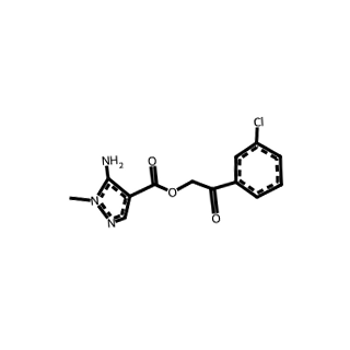 Cn1ncc(C(=O)OCC(=O)c2cccc(Cl)c2)c1N